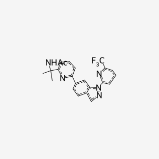 CC(=O)NC(C)(C)c1cccc(-c2ccc3cnn(-c4cccc(C(F)(F)F)n4)c3c2)n1